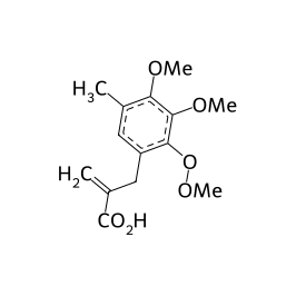 C=C(Cc1cc(C)c(OC)c(OC)c1OOC)C(=O)O